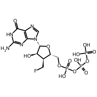 Nc1nc2c(ncn2[C@@H]2O[C@H](COP(=O)(O)OP(=O)(O)OP(=O)(O)O)[C@@H](CF)[C@H]2O)c(=O)[nH]1